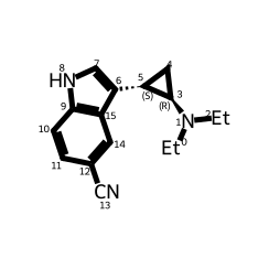 CCN(CC)[C@@H]1C[C@H]1c1c[nH]c2ccc(C#N)cc12